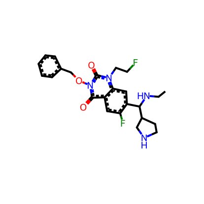 CCNC(c1cc2c(cc1F)c(=O)n(OCc1ccccc1)c(=O)n2CCF)C1CCNC1